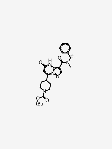 C[C@@H](c1ccccc1)N(C)C(=O)c1cnn2c(C3CCN(C(=O)OC(C)(C)C)CC3)cc(=O)[nH]c12